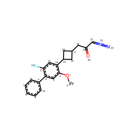 CC(C)Oc1cc(-c2ccccc2)c(F)cc1C1CC(CC(=O)C=[N+]=[N-])C1